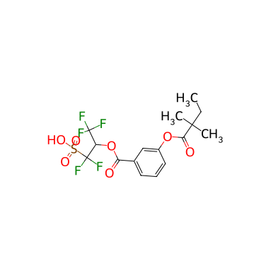 CCC(C)(C)C(=O)Oc1cccc(C(=O)OC(C(F)(F)F)C(F)(F)S(=O)(=O)O)c1